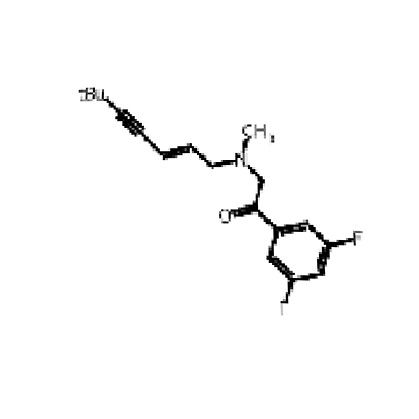 CN(CC=CC#CC(C)(C)C)CC(=O)c1cc(F)cc(F)c1